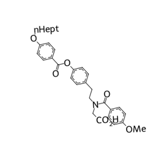 CCCCCCCOc1ccc(C(=O)Oc2ccc(CCN(CC(=O)O)C(=O)c3ccc(OC)cc3)cc2)cc1